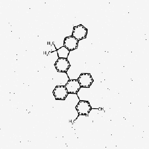 Cc1cc(-c2c3ccccc3c(-c3ccc4c(c3)-c3cc5ccccc5cc3C4(C)C)c3ccccc23)cc(C)n1